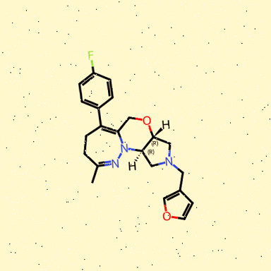 CC1=NN2C(=C(c3ccc(F)cc3)CC1)CO[C@@H]1CN(Cc3ccoc3)C[C@H]12